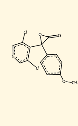 COc1ccc(C2(c3c(Cl)cncc3Cl)OC2=O)cc1